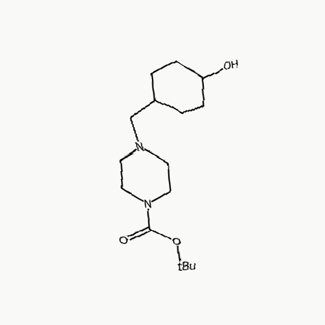 CC(C)(C)OC(=O)N1CCN(CC2CCC(O)CC2)CC1